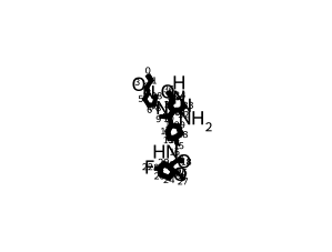 C=CC(=O)N1CC[C@@H](n2cc(-c3ccc(CNC(=O)c4cc(F)ccc4OC)cc3)c3c(N)n[nH]c(=O)c32)C1